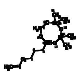 C=COCCC[SiH]1O[SiH2]O[Si](C)(C)O[Si](C)(C)O1